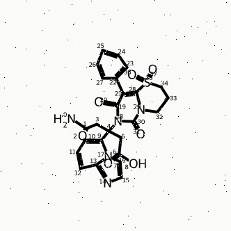 NC(=O)CC(CC(=O)O)(c1cccc2nccn12)n1c(=O)c(-c2ccccc2)c2n(c1=O)CCCS2(=O)=O